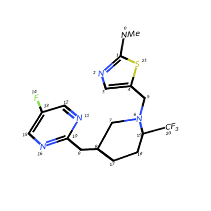 CNc1ncc(CN2CC(Cc3ncc(F)cn3)CCC2C(F)(F)F)s1